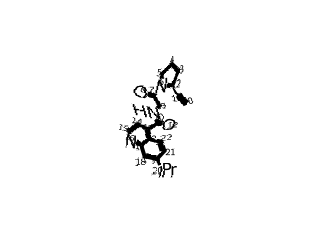 C#C[C@@H]1CCCN1C(=O)CNC(=O)c1ccnc2cc(C(C)C)ccc12